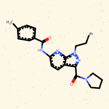 Cc1ccc(C(=O)Nc2ccc3c(C(=O)N4CCCC4)nn(CCC(C)C)c3n2)cc1